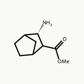 COC(=O)C1C2CCC(C2)[C@@H]1N